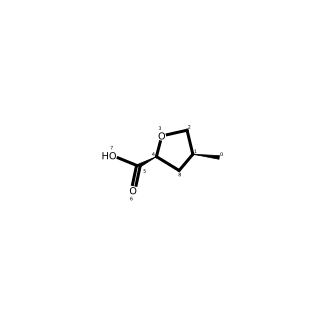 C[C@@H]1CO[C@H](C(=O)O)C1